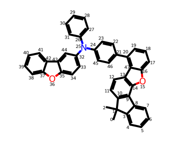 CC1(C)c2ccccc2-c2c1ccc1c2oc2cccc(-c3ccc(N(c4ccccc4)c4ccc5oc6ccccc6c5c4)cc3)c21